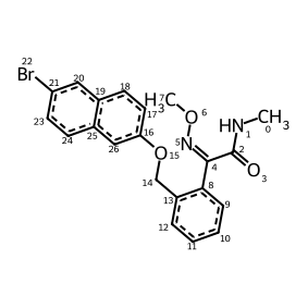 CNC(=O)C(=NOC)c1ccccc1COc1ccc2cc(Br)ccc2c1